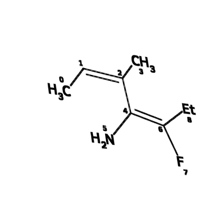 C/C=C(C)\C(N)=C(\F)CC